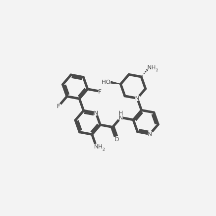 Nc1ccc(-c2c(F)cccc2F)nc1C(=O)Nc1cnccc1N1C[C@@H](N)C[C@H](O)C1